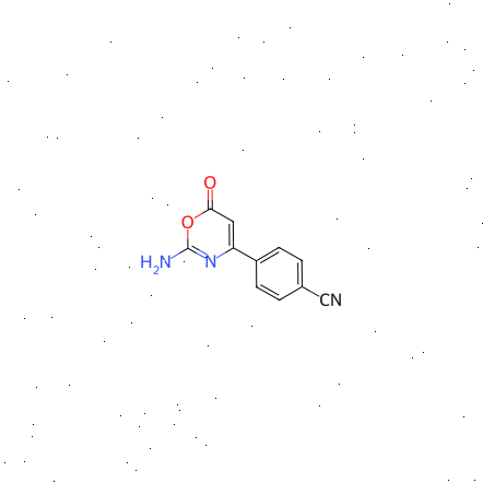 N#Cc1ccc(-c2cc(=O)oc(N)n2)cc1